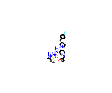 CC(=O)c1sc(NC(=O)N[C@H]2CN(Cc3ccoc3)CC[C@H]2CN2CCC[C@@H](Cc3ccc(F)cc3)C2)nc1C